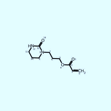 C=CC(=O)OCCCN1CCCNC1=O